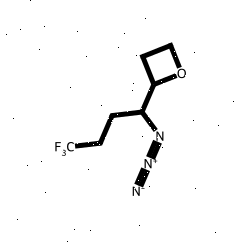 [N-]=[N+]=NC(CCC(F)(F)F)C1CCO1